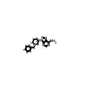 Nc1ncnc2c1nnn2[C@H]1CCCN(Cc2ccccc2)C1